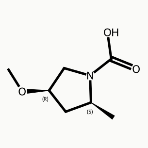 CO[C@@H]1C[C@H](C)N(C(=O)O)C1